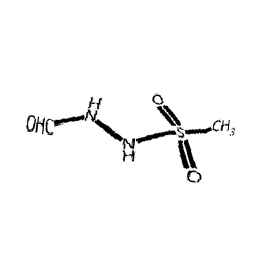 CS(=O)(=O)NNC=O